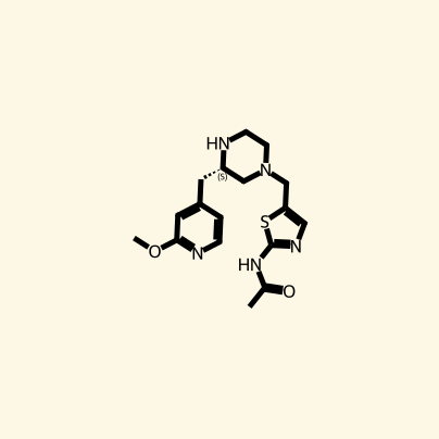 COc1cc(C[C@H]2CN(Cc3cnc(NC(C)=O)s3)CCN2)ccn1